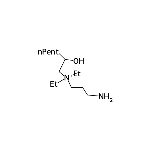 CCCCCC(O)C[N+](CC)(CC)CCCN